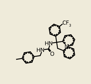 Cc1ccc(CNC(=O)NC(Cc2ccccc2)(c2cccc(C(F)(F)F)c2)c2ccccn2)cc1